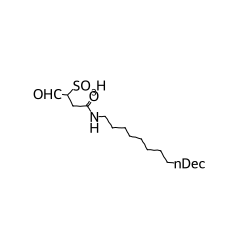 CCCCCCCCCCCCCCCCCCNC(=O)CC(C=O)S(=O)(=O)O